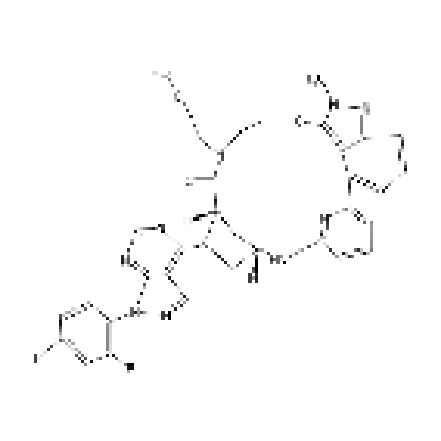 Cn1nc2cccc3c2c1CCCN(CCCO)C(=O)[C@@H]1C[C@@H](CN1c1ncnc2c1cnn2-c1ccc(F)cc1F)Nc1cccc-3n1